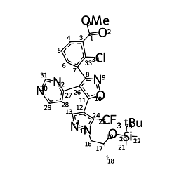 COC(=O)c1cccc(-c2noc(-c3cnn(C[C@@H](C)O[Si](C)(C)C(C)(C)C)c3C(F)(F)F)c2-c2ccncn2)c1Cl